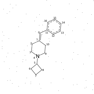 C(=C1CCN(C2CCC2)CC1)c1ccccc1